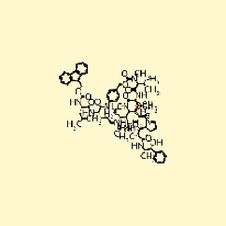 CC[C@H](C)[C@@H]([C@H](CC(=O)N1CCC[C@H]1[C@H](OC)[C@@H](C)C(=O)N[C@@H](C)[C@H](O)c1ccccc1)OC)N(C)C(=O)[C@@H](NC(=O)[C@H](C(C)C)N(C)C(=O)OCc1ccc(NC(=O)[C@H](CCCNC(N)=O)NC(=O)[C@H](CC(C)C)NC(=O)OCC2c3ccccc3-c3ccccc32)cc1)C(C)C